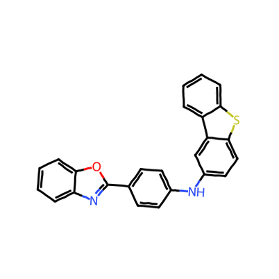 c1ccc2oc(-c3ccc(Nc4ccc5sc6ccccc6c5c4)cc3)nc2c1